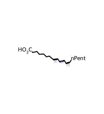 CCCCC\C=C/C=C/C=C/CCCCCCC(=O)O